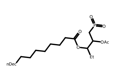 CCCCCCCCCCCCCCCCCC(=O)OC(CC)C(CP(=O)=O)OC(C)=O